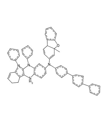 CC12C=C(N(c3ccc(-c4ccc(-c5ccccc5)cc4)cc3)c3ccc4c(c3)N(c3ccccc3)c3c(c5c(n3-c3ccccc3)C=CCC5)[SiH2]4)C=CC1c1ccccc1O2